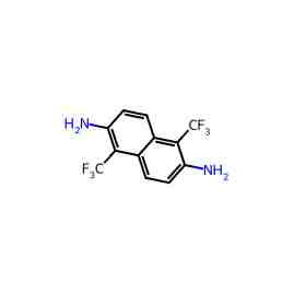 Nc1ccc2c(C(F)(F)F)c(N)ccc2c1C(F)(F)F